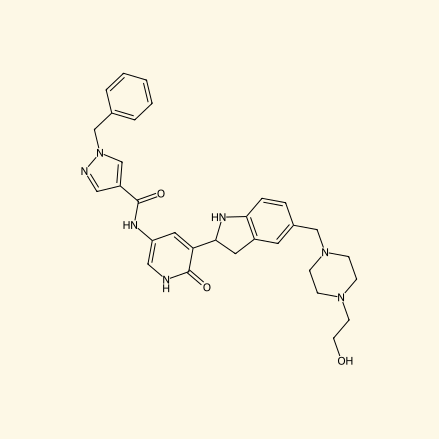 O=C(Nc1c[nH]c(=O)c(C2Cc3cc(CN4CCN(CCO)CC4)ccc3N2)c1)c1cnn(Cc2ccccc2)c1